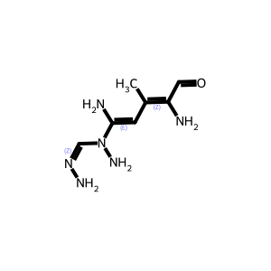 CC(/C=C(\N)N(N)/C=N\N)=C(/N)C=O